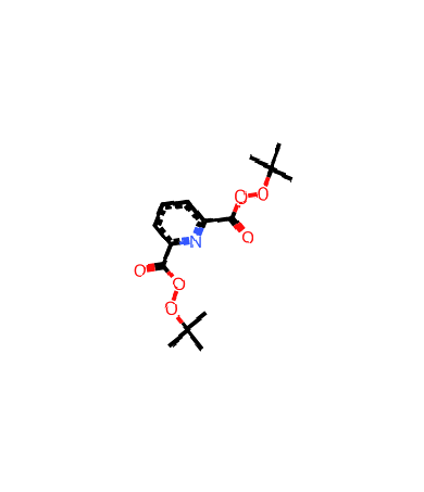 CC(C)(C)OOC(=O)c1cccc(C(=O)OOC(C)(C)C)n1